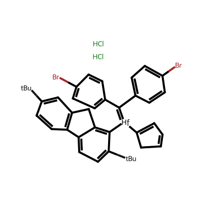 CC(C)(C)c1ccc2c(c1)Cc1c-2ccc(C(C)(C)C)[c]1[Hf]([C]1=CC=CC1)=[C](c1ccc(Br)cc1)c1ccc(Br)cc1.Cl.Cl